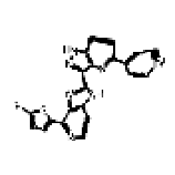 Fc1ccc(-c2nccc3[nH]c(-c4n[nH]c5ccc(-c6ccncc6)nc45)nc23)s1